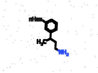 CCCCCCc1cccc(C(C)CCN)c1